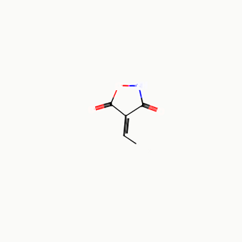 C/[C]=C1\C(=O)NOC1=O